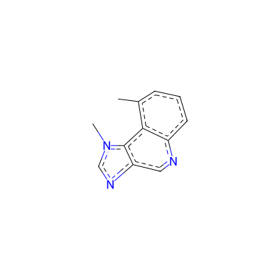 Cc1cccc2ncc3ncn(C)c3c12